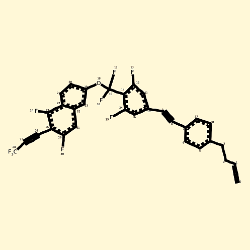 C=CCCc1ccc(C#Cc2cc(F)c(C(F)(F)Oc3ccc4c(F)c(C#CC(F)(F)F)c(F)cc4c3)c(F)c2)cc1